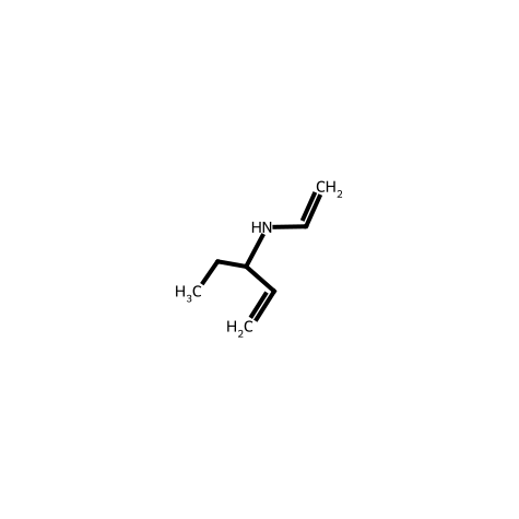 C=CNC(C=C)CC